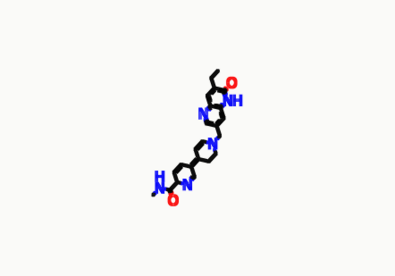 CCc1cc2ncc(CN3C=CC(=C4C=CC(C(=O)NC)N=C4)CC3)cc2[nH]c1=O